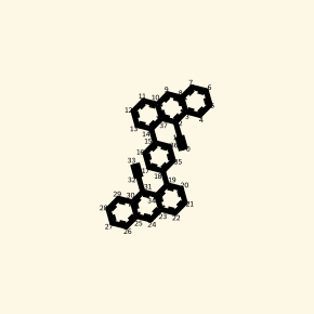 C#Cc1c2ccccc2cc2cccc(-c3ccc(-c4cccc5cc6ccccc6c(C#C)c45)cc3)c12